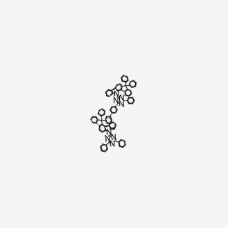 c1ccc(-c2nc(-c3ccccc3)nc(-n3c4ccccc4c4c5c(ccc43)-c3ccccc3C5(c3ccccc3)c3cccc(-c4ccc(-c5nc(-c6ccccc6)nc(-n6c7ccccc7c7ccc8c(c76)-c6ccccc6C8(c6ccccc6)c6ccccc6)n5)cc4)c3)n2)cc1